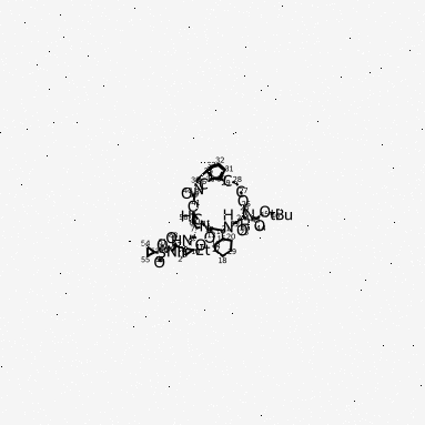 CC[C@@H]1C[C@]1(NC(=O)[C@@H]1C[C@@H]2CN1C(=O)[C@H](C1CCCCC1)NC(=O)[C@@H]1C(OCCCc3cccc4c3CN(C4)C(=O)O2)N1C(=O)OC(C)(C)C)C(=O)NS(=O)(=O)C1CC1